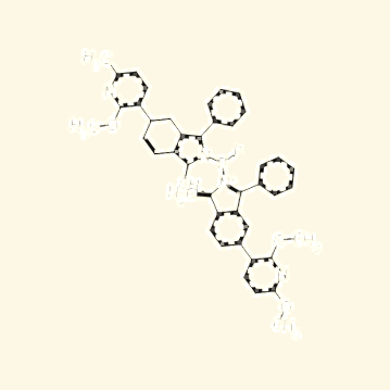 C=C1c2ccc(-c3ccc(OC)nc3OC)cc2C(c2ccccc2)=[N+]1B(F)n1c(C)c2c(c1-c1ccccc1)CC(c1ccc(C)nc1OC)C=C2